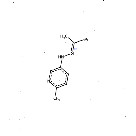 C/C(=N\Nc1ccc(C(F)(F)F)nc1)C(C)C